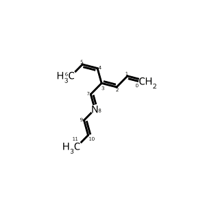 C=C/C=C(\C=C/C)/C=N/C=C/C